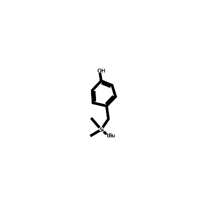 CC(C)(C)[Si](C)(C)Cc1ccc(O)cc1